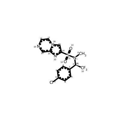 CN([C@H](c1ccc(Cl)cc1)C(F)(F)F)S(=O)(=O)c1cn2ccncc2n1